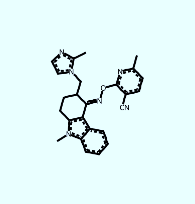 Cc1ccc(C#N)c(ON=C2c3c(n(C)c4ccccc34)CCC2Cn2ccnc2C)n1